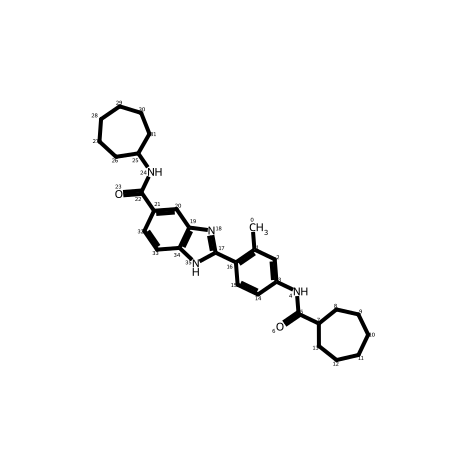 Cc1cc(NC(=O)C2CCCCCC2)ccc1-c1nc2cc(C(=O)NC3CCCCCC3)ccc2[nH]1